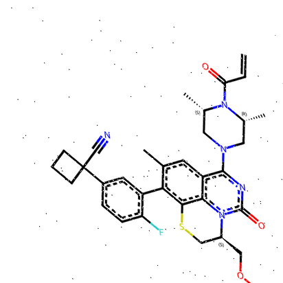 C=CC(=O)N1[C@H](C)CN(c2nc(=O)n3c4c(c(-c5cc(C6(C#N)CCC6)ccc5F)c(C)cc24)SC[C@@H]3COC)C[C@@H]1C